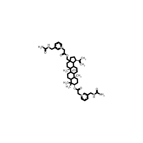 C=C(C)[C@@H]1CCC2(COC(=O)C[n+]3cccc(CNC(N)=O)c3)CC[C@]3(C)C(CCC4[C@@]5(C)CC[C@H](OC(=O)C[n+]6cccc(CNC(N)=O)c6)C(C)(C)C5CC[C@]43C)C12